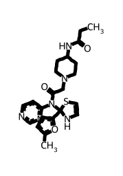 CCC(=O)NC1CCN(CC(=O)N(c2ccncn2)C2(c3ccc(C)o3)NC=CS2)CC1